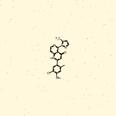 Cc1cc(C(C)(C)C)c(Cl)cc1-c1cc(=O)c2c(-n3nccc3C(F)(F)F)nccc2[nH]1